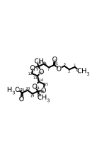 CCCCOC(=O)CCC1(C)OCC(C2COC(C)(CCC(C)=O)O2)O1